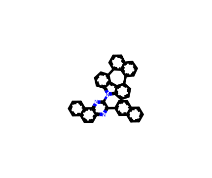 c1ccc2cc(-c3nc4ccc5ccccc5c4nc3-n3c4cccc5c4c4c(cccc43)-c3cccc4cccc-5c34)ccc2c1